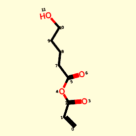 C=CC(=O)OC(=O)CCCCO